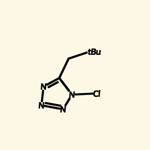 CC(C)(C)Cc1nnnn1Cl